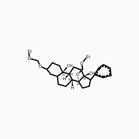 CCOCOC1CC[C@@]2(C)C(CC[C@@H]3[C@H]2CC[C@]2(C)C(c4ccccc4)CC[C@@]32OCOCC)C1